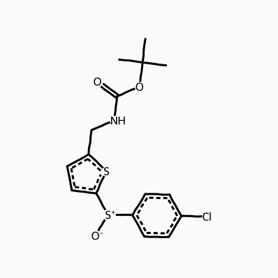 CC(C)(C)OC(=O)NCc1ccc([S+]([O-])c2ccc(Cl)cc2)s1